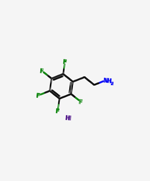 I.NCCc1c(F)c(F)c(F)c(F)c1F